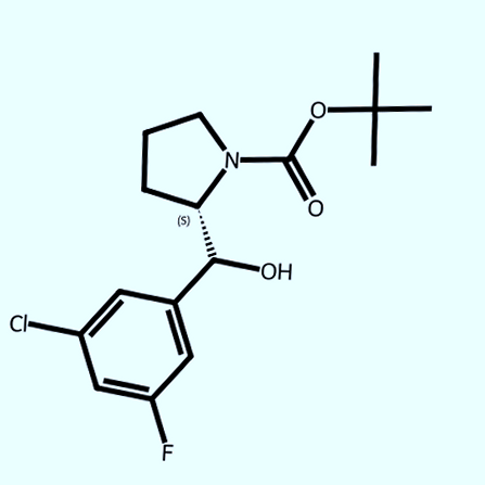 CC(C)(C)OC(=O)N1CCC[C@H]1C(O)c1cc(F)cc(Cl)c1